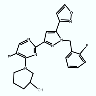 OC1CCCN(c2nc(-c3cc(-c4ccon4)n(Cc4ccccc4F)n3)ncc2F)C1